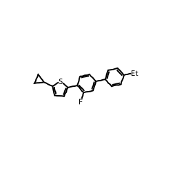 CCc1ccc(-c2ccc(-c3ccc(C4CC4)s3)c(F)c2)cc1